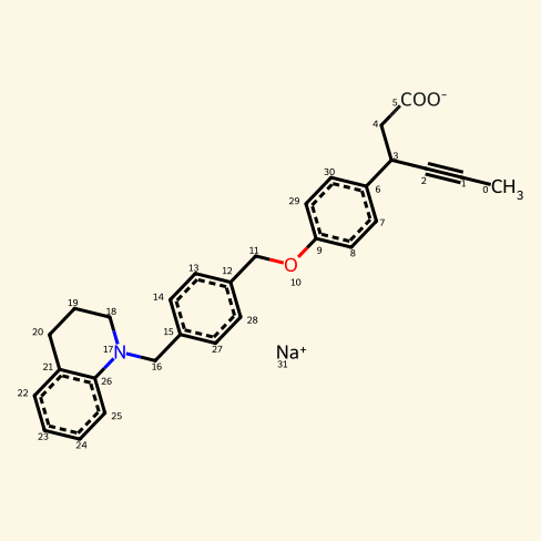 CC#CC(CC(=O)[O-])c1ccc(OCc2ccc(CN3CCCc4ccccc43)cc2)cc1.[Na+]